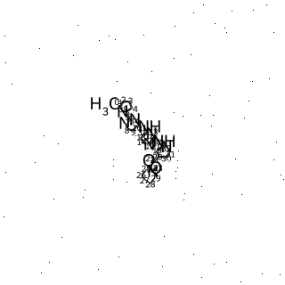 Cc1cccc(-c2nccc(Nc3ccnc(Nc4cc(C(=O)ON5CCCCC5)ccn4)n3)n2)n1